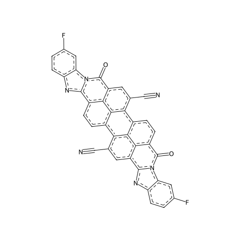 N#Cc1cc2c(=O)n3c4cc(F)ccc4nc3c3ccc4c5c(C#N)cc6c7c(ccc(c1c4c23)c57)c(=O)n1c2cc(F)ccc2nc61